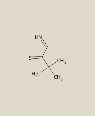 CC(C)(C)C(=S)C=N